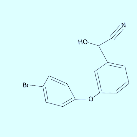 N#CC(O)c1cccc(Oc2ccc(Br)cc2)c1